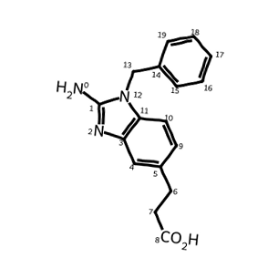 Nc1nc2cc(CCC(=O)O)ccc2n1Cc1ccccc1